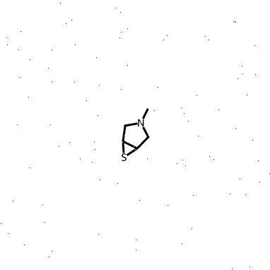 CN1CC2SC2C1